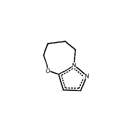 [c]1cnn2c1OCCCC2